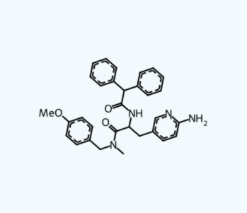 COc1ccc(CN(C)C(=O)C(Cc2ccc(N)nc2)NC(=O)C(c2ccccc2)c2ccccc2)cc1